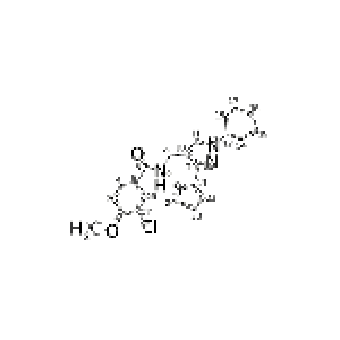 COc1ccc(C(=O)NCc2cn(-c3ccccc3)nc2-c2cccs2)cc1Cl